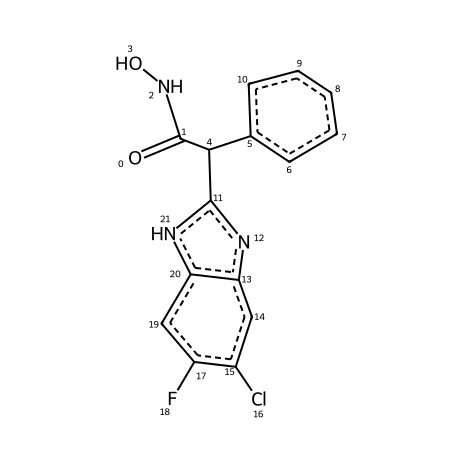 O=C(NO)C(c1ccccc1)c1nc2cc(Cl)c(F)cc2[nH]1